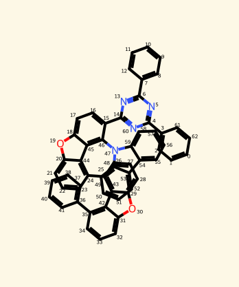 c1ccc(-c2nc(-c3ccccc3)nc(-c3ccc4oc5cccc(-c6cccc7oc8cccc(-c9ccccc9)c8c67)c5c4c3-n3c4ccccc4c4ccccc43)n2)cc1